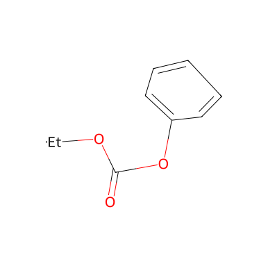 C[CH]OC(=O)Oc1ccccc1